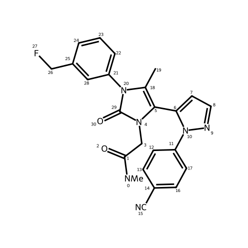 CNC(=O)Cn1c(-c2ccnn2-c2ccc(C#N)cc2)c(C)n(-c2cccc(CF)c2)c1=O